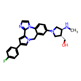 CN[C@@H]1CN(c2ccc3c(c2)Cn2cc(-c4ccc(F)cc4)cc2-c2nccn2-3)C[C@H]1CO